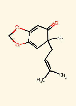 CCCC1(CC=C(C)C)C=C2OCOC2=CC1=O